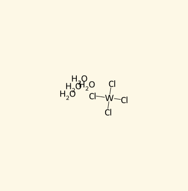 O.O.O.O.[Cl][W]([Cl])([Cl])[Cl]